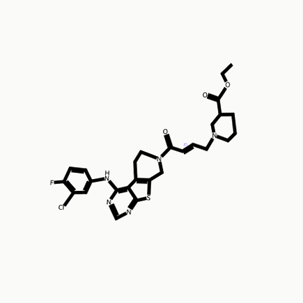 CCOC(=O)C1CCCN(C/C=C/C(=O)N2CCc3c(sc4ncnc(Nc5ccc(F)c(Cl)c5)c34)C2)C1